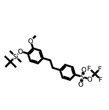 COc1cc(CCc2ccc(S(=O)(=O)OC(F)(F)F)cc2)ccc1O[Si](C)(C)C(C)(C)C